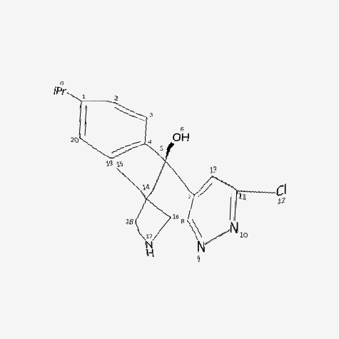 CC(C)c1ccc([C@](O)(c2cnnc(Cl)c2)C2(C)CNC2)cc1